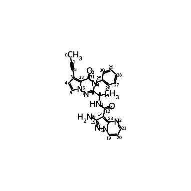 CC#Cc1ccn2nc(C(C)NC(=O)c3c(N)nn4cccnc34)n(-c3ccccc3)c(=O)c12